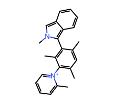 Cc1cc(C)c(-[n+]2ccccc2C)c(C)c1-c1c2ccccc2cn1C